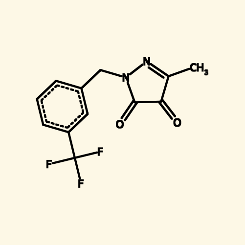 CC1=NN(Cc2cccc(C(F)(F)F)c2)C(=O)C1=O